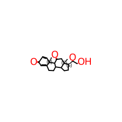 C[C@]12C=CC(=O)C=C1CCC1C2C(=O)C[C@@]2(C)C1CC[C@@H]2C(=O)CO